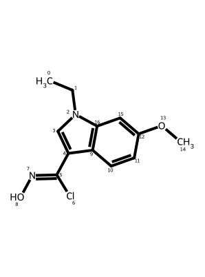 CCn1cc(/C(Cl)=N/O)c2ccc(OC)cc21